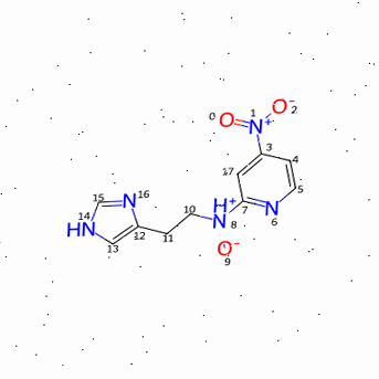 O=[N+]([O-])c1ccnc([NH+]([O-])CCc2c[nH]cn2)c1